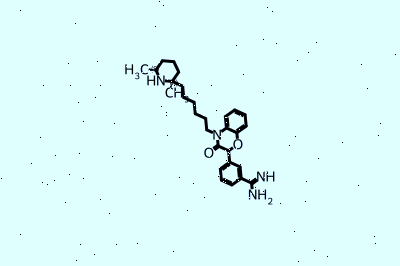 C[C@H]1CCC[C@@](C)(CCCCCCN2C(=O)C(c3cccc(C(=N)N)c3)Oc3ccccc32)N1